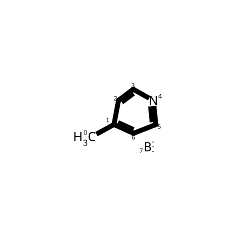 Cc1ccncc1.[B]